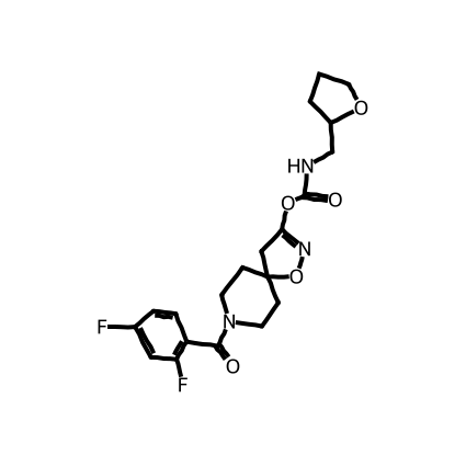 O=C(NCC1CCCO1)OC1=NOC2(CCN(C(=O)c3ccc(F)cc3F)CC2)C1